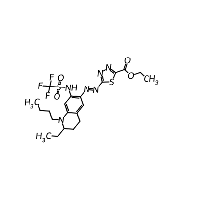 CCCCN1c2cc(NS(=O)(=O)C(F)(F)F)c(N=Nc3nnc(C(=O)OCC)s3)cc2CCC1CC